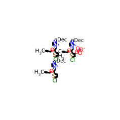 CC#CCOC(C[n+]1ccn(CCCCCCCCCC)c1)c1ccc(Cl)s1.CC#CCOC(C[n+]1ccn(CCCCCCCCCC)c1)c1ccc(Cl)s1.CC#CCOC(C[n+]1ccn(CCCCCCCCCC)c1)c1ccc(Cl)s1.O=P([O-])([O-])[O-]